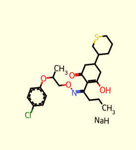 CCCC(=NOCC(C)Oc1ccc(Cl)cc1)C1=C(O)CC(C2CCCSC2)CC1=O.[NaH]